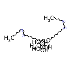 CCCCC/C=C\C/C=C\CCCCCCCCOCC(OCCCCCCCC/C=C\C/C=C\CCCCC)C(O)N(C(O)O)C(C)(C)O